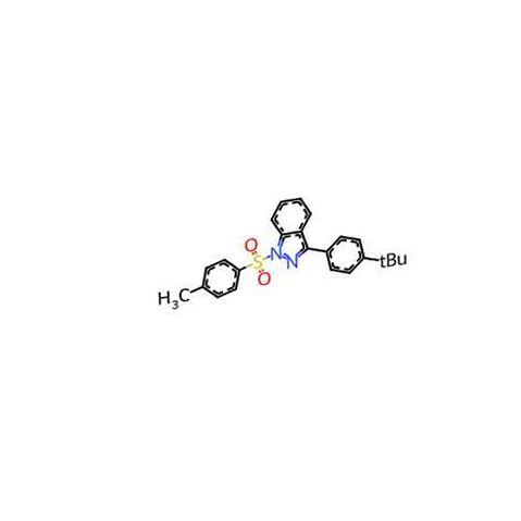 Cc1ccc(S(=O)(=O)n2nc(-c3ccc(C(C)(C)C)cc3)c3ccccc32)cc1